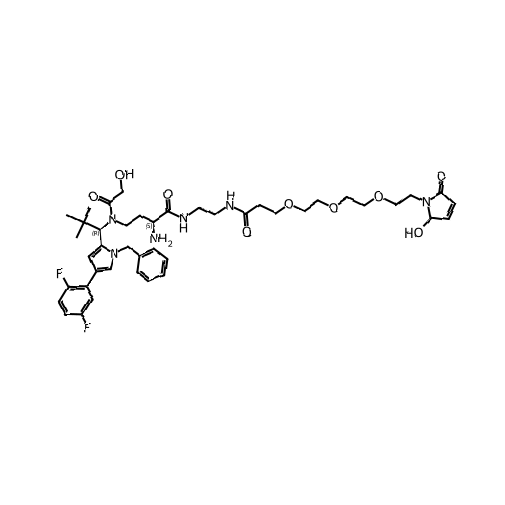 CC(C)(C)[C@H](c1cc(-c2cc(F)ccc2F)cn1Cc1ccccc1)N(CC[C@H](N)C(=O)NCCNC(=O)CCOCCOCCOCCN1C(=O)C=CC1O)C(=O)CO